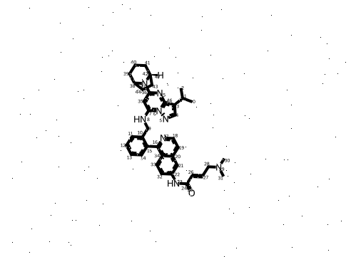 CC(C)c1cnn2c(NCc3ccccc3-c3nccc4cc(NC(=O)/C=C/CN(C)C)ccc34)cc(N3C4CCC[C@@H]3CC4)nc12